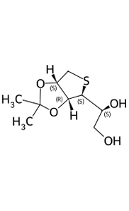 CC1(C)O[C@H]2[C@H]([C@@H](O)CO)SC[C@H]2O1